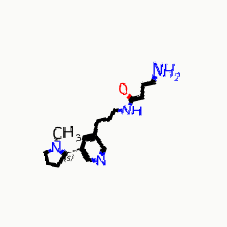 CN1CCC[C@H]1c1cncc(CCCNC(=O)CCCN)c1